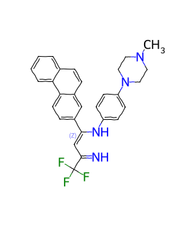 CN1CCN(c2ccc(N/C(=C\C(=N)C(F)(F)F)c3ccc4c(ccc5ccccc54)c3)cc2)CC1